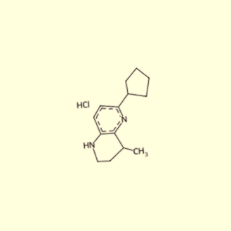 CC1CCNc2ccc(C3CCCC3)nc21.Cl